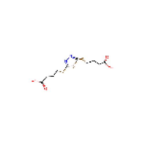 O=C(O)CCCSc1nnc(SCCCC(=O)O)s1